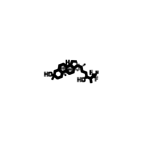 CC(C(O)CC[C@@H](C)[C@H]1CC[C@H]2[C@@H]3CC=C4C[C@@](C)(O)CC[C@]4(C)[C@H]3CC[C@]12C)C(F)(F)F